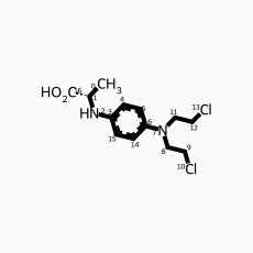 C[C@H](Nc1ccc(N(CCCl)CCCl)cc1)C(=O)O